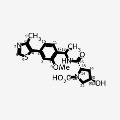 COc1cc(-c2scnc2C)ccc1C(C)NC(=O)[C@@H]1C[C@@H](O)CN1C(=O)O